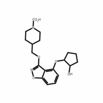 O=C(O)N1CCC(COc2noc3cccc(OC4CCCC4O)c23)CC1